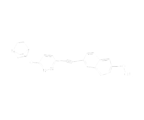 COc1ccc2cc(C#Cc3ccc(OC4CN5CCC4CC5)nn3)ccc2c1